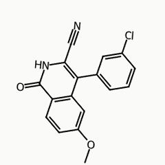 COc1ccc2c(=O)[nH]c(C#N)c(-c3cccc(Cl)c3)c2c1